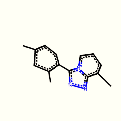 Cc1ccc(-c2nnc3c(C)cccn23)c(C)c1